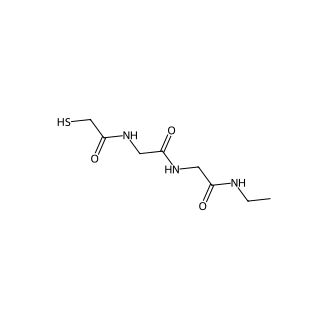 CCNC(=O)CNC(=O)CNC(=O)CS